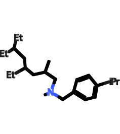 CCC(CC)CC(CC)CC(C)CN(C)Cc1ccc(C(C)C)cc1